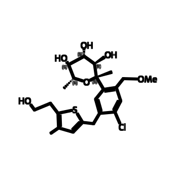 COCc1cc(Cl)c(Cc2cc(C)c(CCO)s2)cc1[C@]1(C)O[C@H](C)[C@@H](O)[C@H](O)[C@H]1O